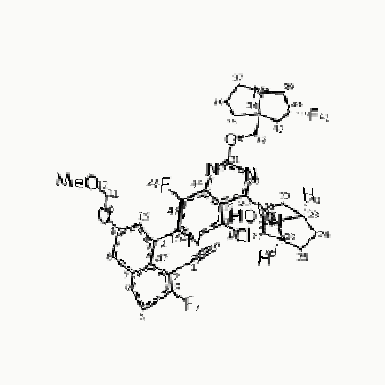 C#Cc1c(F)ccc2cc(OCOC)cc(-c3nc(Cl)c4c(N5C[C@H]6CC[C@@H](C5)N6C(=O)O)nc(OC[C@@]56CCCN5C[C@H](F)C6)nc4c3F)c12